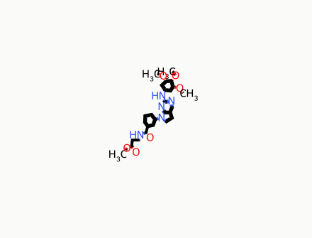 COC(=O)CCNC(=O)c1cccc(-n2ccc3cnc(Nc4cc(OC)c(OC)c(OC)c4)nc32)c1